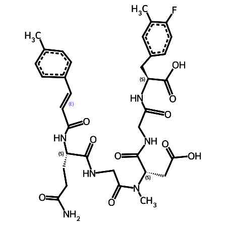 Cc1ccc(/C=C/C(=O)N[C@@H](CCC(N)=O)C(=O)NCC(=O)N(C)[C@@H](CC(=O)O)C(=O)NCC(=O)N[C@@H](Cc2ccc(F)c(C)c2)C(=O)O)cc1